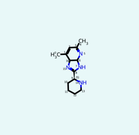 CC1=CC(C)=NC2NC([C@@H]3CCCCN3)=NC12